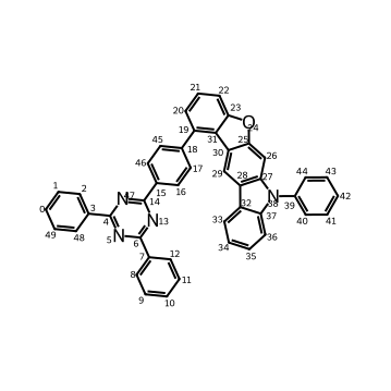 c1ccc(-c2nc(-c3ccccc3)nc(-c3ccc(-c4cccc5oc6cc7c(cc6c45)c4ccccc4n7-c4ccccc4)cc3)n2)cc1